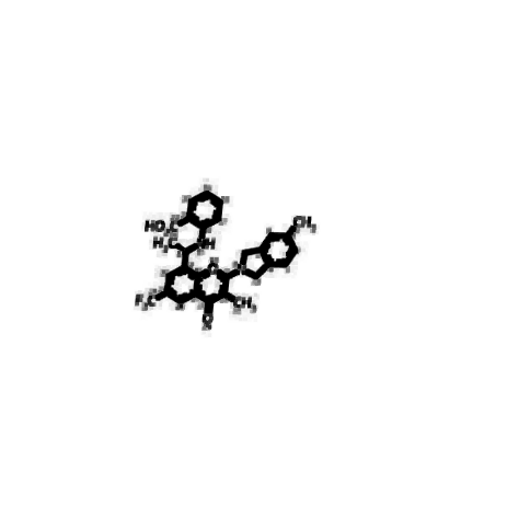 Cc1ccc2c(c1)CN(c1oc3c([C@@H](C)Nc4ccccc4C(=O)O)cc(C(F)(F)F)cc3c(=O)c1C)C2